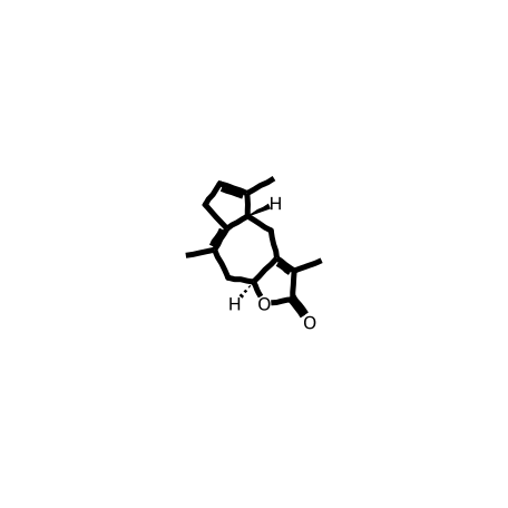 CC1=CCC2=C(C)C[C@@H]3OC(=O)C(C)=C3C[C@@H]12